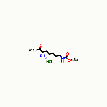 COC(=O)[C@@H](N)CCCCCNC(=O)OC(C)(C)C.Cl